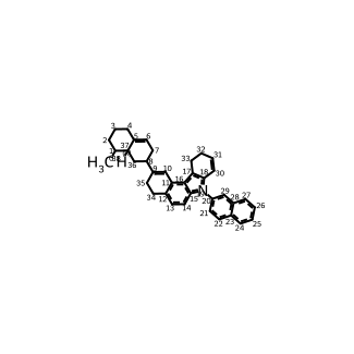 CC1CCCC2=CCC(C3=Cc4c(ccc5c4c4c(n5-c5ccc6ccccc6c5)C=CCC4)CC3)C[C@@H]21